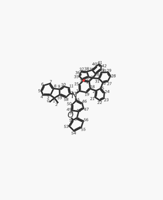 CC1(C)c2ccccc2-c2ccc(N(c3ccc4c(c3)-c3ccccc3-c3ccccc3C43c4ccccc4-c4ccccc43)c3ccc4c(c3)oc3ccccc34)cc21